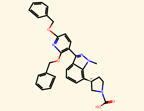 Cn1nc(-c2ccc(OCc3ccccc3)nc2OCc2ccccc2)c2cccc([C@H]3CCN(C(=O)O)C3)c21